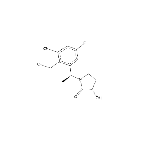 C[C@@H](c1cc(F)cc(Cl)c1CCl)N1CC[C@H](O)C1=O